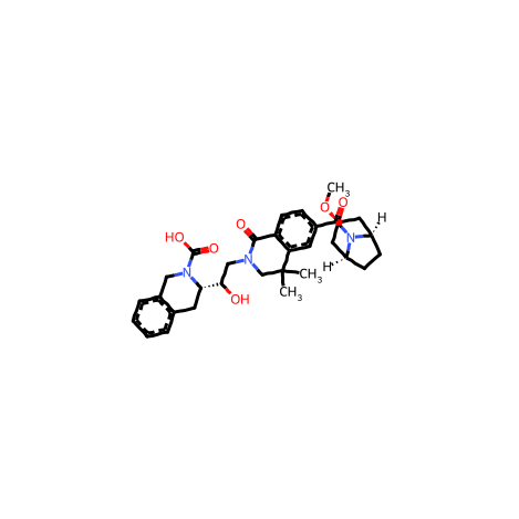 CO[C@H]1C[C@H]2CC[C@@H](C1)N2C(=O)c1ccc2c(c1)C(C)(C)CN(CC(O)[C@@H]1Cc3ccccc3CN1C(=O)O)C2=O